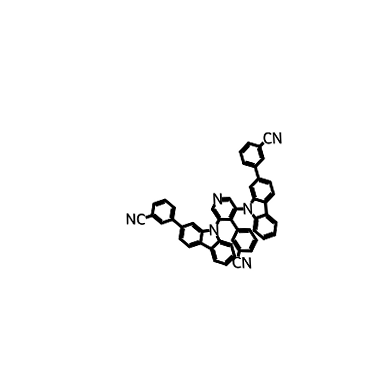 N#Cc1cccc(-c2ccc3c4ccccc4n(-c4cncc(-n5c6ccccc6c6ccc(-c7cccc(C#N)c7)cc65)c4-c4cccc(C#N)c4)c3c2)c1